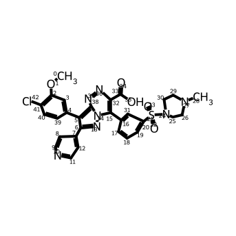 COc1cc(-c2c(-c3ccncc3)nn3c(-c4cccc(S(=O)(=O)N5CCN(C)CC5)c4)c(C(=O)O)nnc23)ccc1Cl